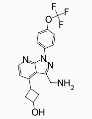 NCc1nn(-c2ccc(OC(F)(F)F)cc2)c2nccc(C3CC(O)C3)c12